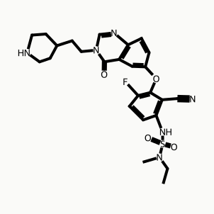 CCN(C)S(=O)(=O)Nc1ccc(F)c(Oc2ccc3ncn(CCC4CCNCC4)c(=O)c3c2)c1C#N